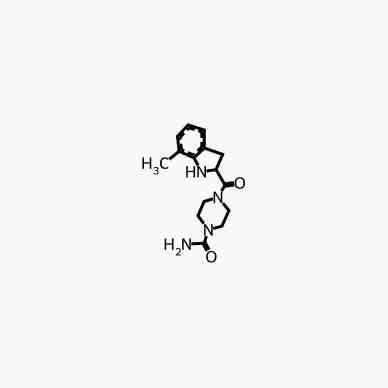 Cc1cccc2c1NC(C(=O)N1CCN(C(N)=O)CC1)C2